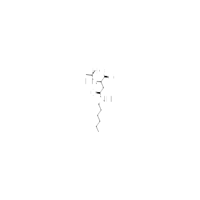 CCCCCCNC(=O)CC(NC(C)C)C(=O)O